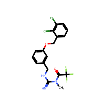 CN(C(=N)NCc1cccc(OCc2cccc(Cl)c2Cl)c1)C(=O)C(F)(F)F